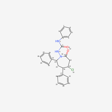 O=C(Nc1ccccc1)NN1C(=O)CC(Cl)C(c2ccccc2)CC1c1ccccc1